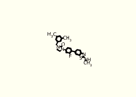 CNc1nc2ccc(-c3ccc(N4CCN(Cc5cc(C)cc(C)c5)C4=O)cc3F)cc2s1